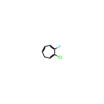 FC1=CC=CCC=C1Cl